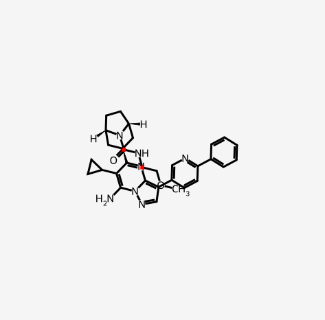 COCCNC(=O)N1[C@@H]2CC[C@H]1C[C@H](c1nc3c(-c4ccc(-c5ccccc5)nc4)cnn3c(N)c1C1CC1)C2